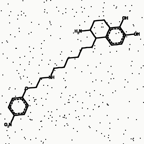 NC1CCc2c(ccc(O)c2O)C1CCCCCCNCCOc1ccc([N+](=O)[O-])cc1